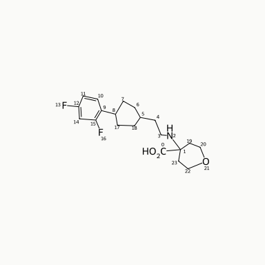 O=C(O)C1(NCCC2CCC(c3ccc(F)cc3F)CC2)CCOCC1